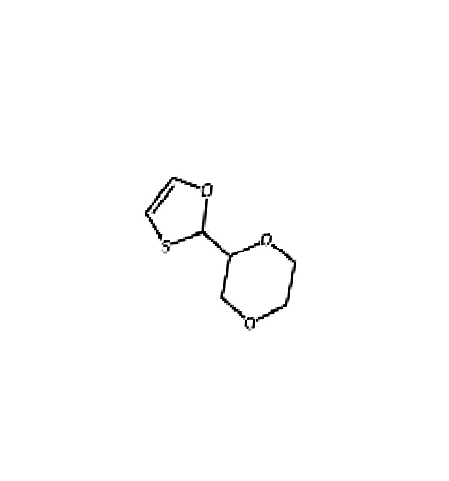 C1=CS[C](C2COCCO2)O1